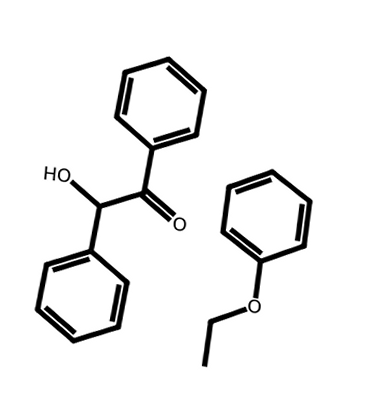 CCOc1ccccc1.O=C(c1ccccc1)C(O)c1ccccc1